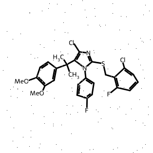 COc1ccc(C(C)(C)c2c(Cl)nc(SCc3c(F)cccc3Cl)n2-c2ccc(F)cc2)cc1OC